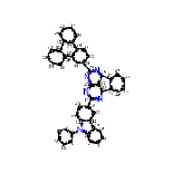 c1ccc(-n2c3ccccc3c3cc(-c4nc5c6c(nc(-c7ccc8c9ccccc9c9ccccc9c8c7)nc6n4)-c4ccccc4-5)ccc32)cc1